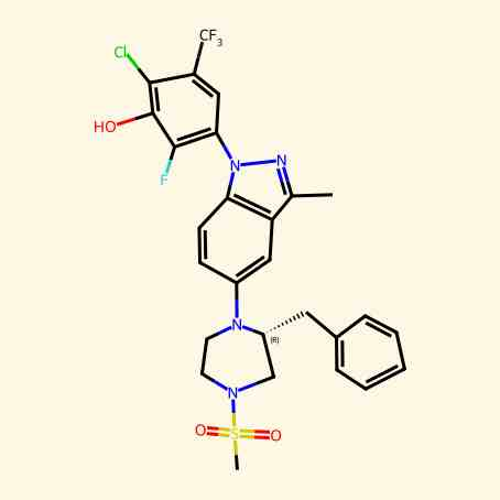 Cc1nn(-c2cc(C(F)(F)F)c(Cl)c(O)c2F)c2ccc(N3CCN(S(C)(=O)=O)C[C@H]3Cc3ccccc3)cc12